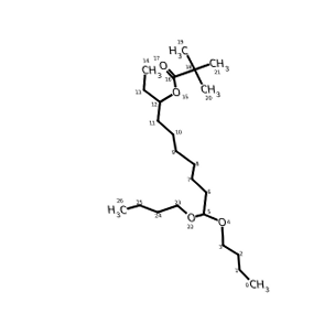 CCCCOC(CCCCCCC(CC)OC(=O)C(C)(C)C)OCCCC